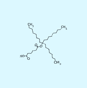 CCCCCCCCCC(CCCCCCCC)(CCCCCCCC)OC(=O)CCCCC(=O)O